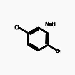 [B]c1ccc(Cl)cc1.[NaH]